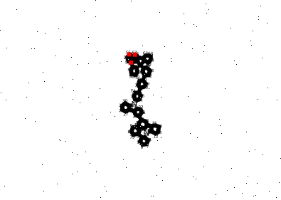 c1ccc(-c2ccccc2-n2c3ccccc3c3cc(-c4ccc5c(c4)c4ccccc4n5-c4ccc(-c5ccc(-c6cccc(C7(c8ccccc8-c8ccccc8)c8ccccc8-c8ccccc87)c6)cc5)cc4)ccc32)cc1